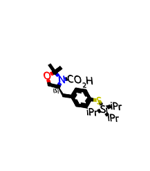 CC(C)[Si](Sc1ccc(C[C@H]2COC(C)(C)N2C(=O)O)cc1)(C(C)C)C(C)C